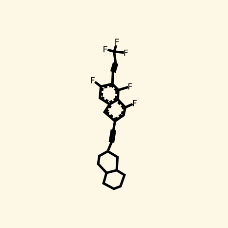 Fc1cc2cc(C#CC3CCC4CCCCC4C3)cc(F)c2c(F)c1C#CC(F)(F)F